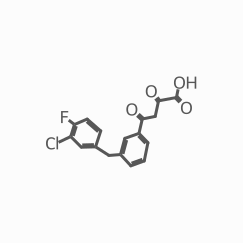 O=C(O)C(=O)CC(=O)c1cccc(Cc2ccc(F)c(Cl)c2)c1